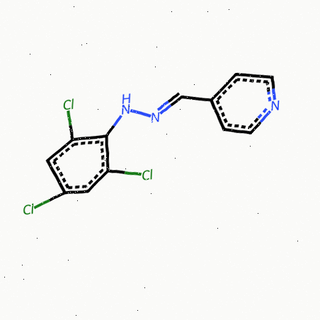 Clc1cc(Cl)c(NN=Cc2ccncc2)c(Cl)c1